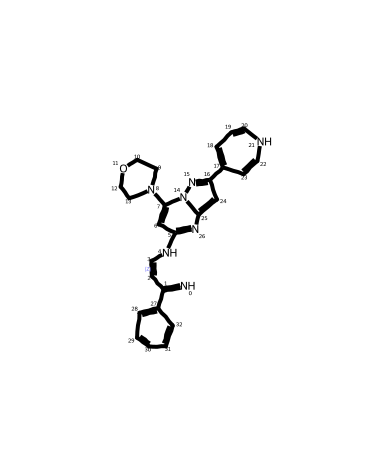 N=C(/C=C\Nc1cc(N2CCOCC2)n2nc(C3=CC=CNC=C3)cc2n1)c1ccccc1